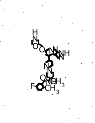 Cc1ccc(F)cc1C(=O)NC1(C)CCN(c2ccc(-c3cc(OCC4CNCCO4)cn4nc5[nH]ncc5c34)cn2)CC1